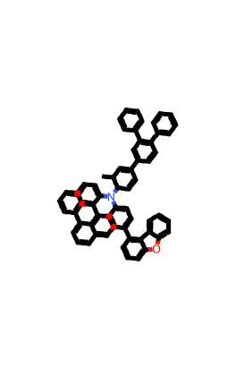 CC1C=C(c2ccc(-c3ccccc3)c(-c3ccccc3)c2)C=CC1N(c1ccc(-c2cccc3oc4ccccc4c23)cc1)c1ccccc1C1=c2c(-c3ccccc3)cccc2=CCC1